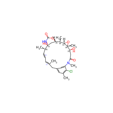 C/C1=C\C=C\[C@@H](C)[C@@]2(O)C[C@H](OC(=O)N2)[C@@H](C)[C@@H]2O[C@]2(C)[C@@H](O)CC(=O)N(C)c2cc(cc(C)c2Cl)C1